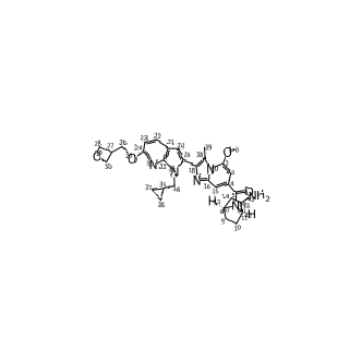 COc1cc(C(=O)N2[C@H]3CC[C@@H]2[C@H](N)C3)cc2nc(-c3cc4ccc(OCC5COC5)nc4n3CC3CC3)c(C)n12